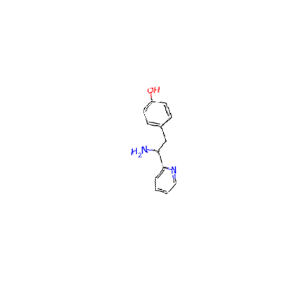 NC(Cc1ccc(O)cc1)c1ccccn1